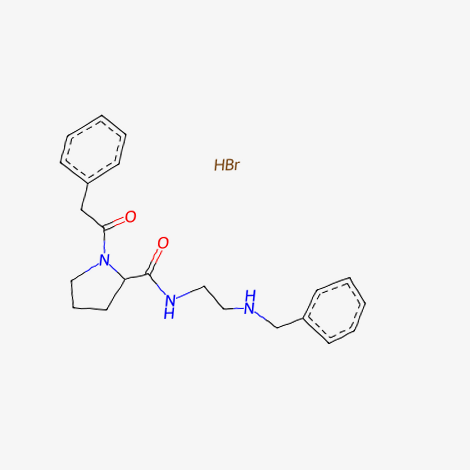 Br.O=C(NCCNCc1ccccc1)C1CCCN1C(=O)Cc1ccccc1